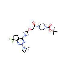 C[C@H]1CCN1c1nc(N2CC(OCC(=O)N3CCN(C(=O)OC(C)(C)C)CC3)C2)c2c(n1)C(F)(F)CC2